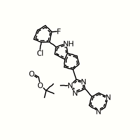 CC(C)(C)OC=O.Cn1nc(-c2cncnc2)nc1-c1ccc2[nH]c(-c3c(F)cccc3Cl)cc2c1